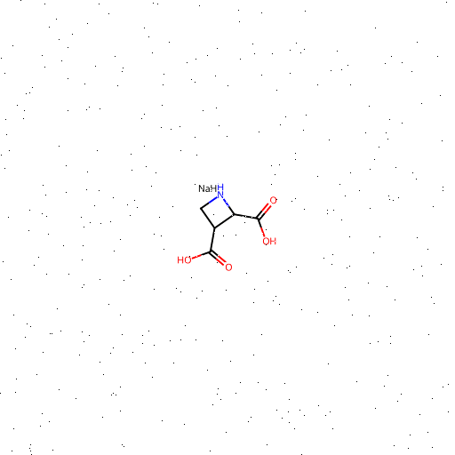 O=C(O)C1CNC1C(=O)O.[NaH]